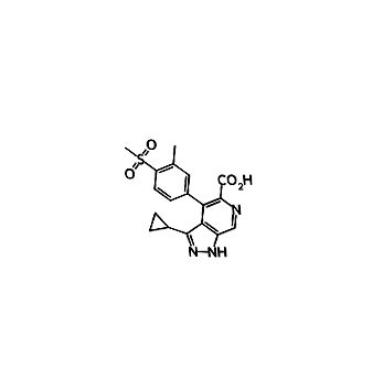 Cc1cc(-c2c(C(=O)O)ncc3[nH]nc(C4CC4)c23)ccc1S(C)(=O)=O